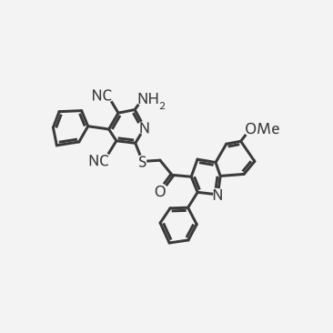 COc1ccc2nc(-c3ccccc3)c(C(=O)CSc3nc(N)c(C#N)c(-c4ccccc4)c3C#N)cc2c1